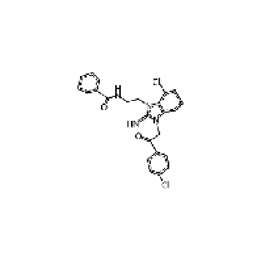 N=c1n(CC(=O)c2ccc(Cl)cc2)c2cccc(Cl)c2n1CCNC(=O)c1ccccc1